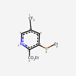 CCOC(=O)c1ncc(C(F)(F)F)cc1SCC